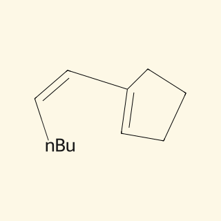 CCCC/C=C\C1=CCCC1